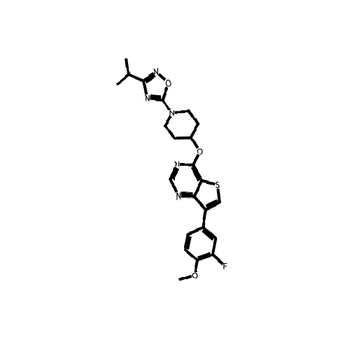 COc1ccc(-c2csc3c(OC4CCN(c5nc(C(C)C)no5)CC4)ncnc23)cc1F